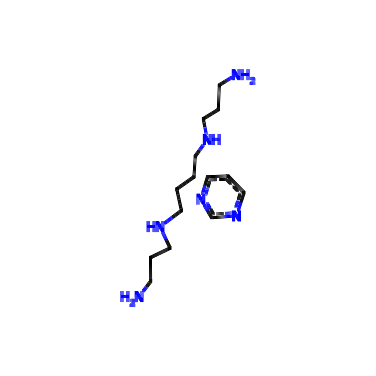 NCCCNCCCCNCCCN.c1cncnc1